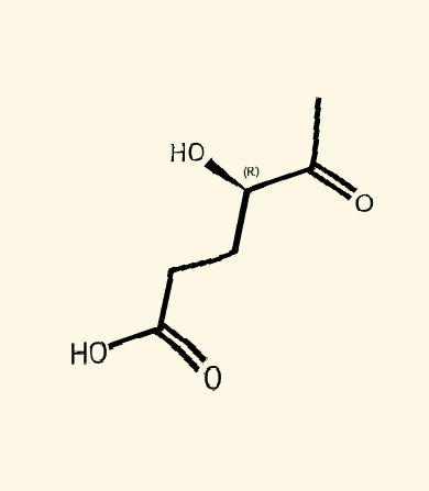 CC(=O)[C@H](O)CCC(=O)O